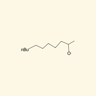 CCCCCCCCCC(C)[O]